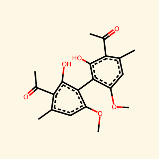 COc1cc(C)c(C(C)=O)c(O)c1-c1c(OC)cc(C)c(C(C)=O)c1O